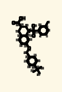 Cc1cccc(S(=O)(=O)N2CC(C(=O)O)Cc3ccc(OCc4ccc(C(C)(C)C)cc4)cc32)c1